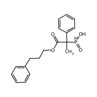 CC(C(=O)OCCCc1ccccc1)(c1ccccc1)[PH](=O)O